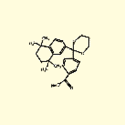 COC(=O)c1ccc(C2(c3ccc4c(c3)C(C)(C)CCC4(C)C)OCCCO2)cc1